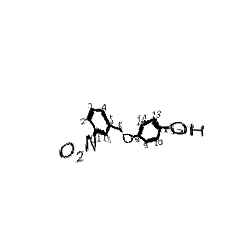 O=[N+]([O-])c1cccc(COc2ccc(O)cc2)c1